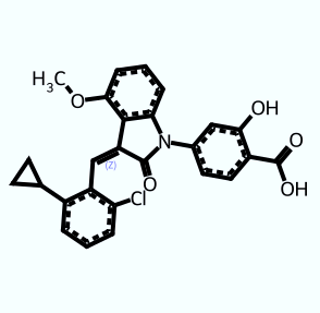 COc1cccc2c1/C(=C/c1c(Cl)cccc1C1CC1)C(=O)N2c1ccc(C(=O)O)c(O)c1